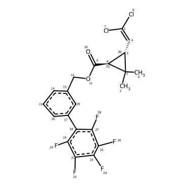 CC1(C)[C@@H](C=C(Cl)Cl)[C@@H]1C(=O)OCc1cccc(-c2c(F)c(F)c(F)c(F)c2F)c1